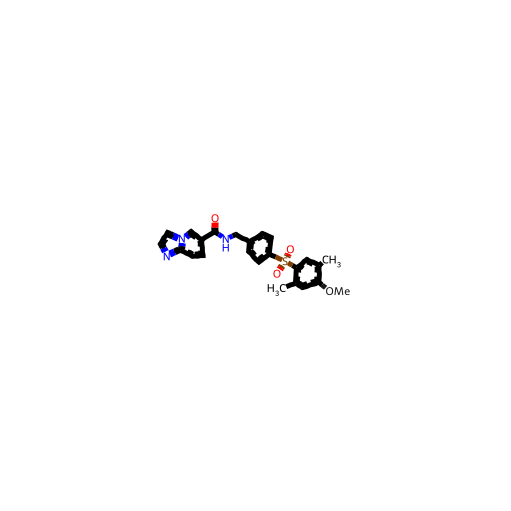 COc1cc(C)c(S(=O)(=O)c2ccc(CNC(=O)c3ccc4nccn4c3)cc2)cc1C